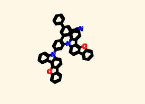 N#Cc1cc(-c2ccccc2)cc(-c2ccc(-n3c4ccccc4c4c5oc6ccccc6c5ccc43)cc2-n2c3ccccc3c3c4oc5ccccc5c4ccc32)c1